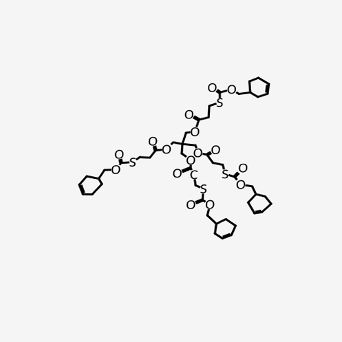 O=C(CCSC(=O)OCC1CC=CCC1)OCC(COC(=O)CCSC(=O)OCC1CC=CCC1)(COC(=O)CCSC(=O)OCC1CC=CCC1)COC(=O)CCSC(=O)OCC1CC=CCC1